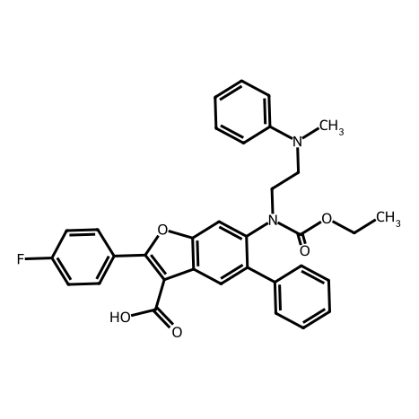 CCOC(=O)N(CCN(C)c1ccccc1)c1cc2oc(-c3ccc(F)cc3)c(C(=O)O)c2cc1-c1ccccc1